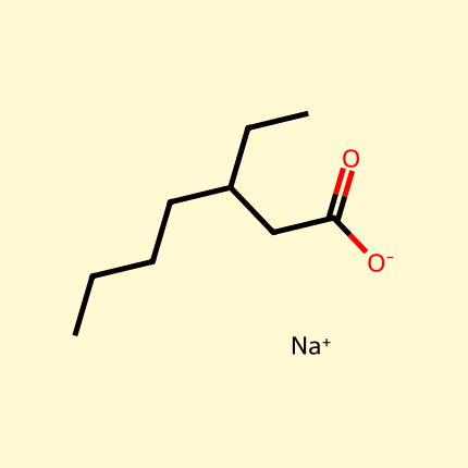 CCCCC(CC)CC(=O)[O-].[Na+]